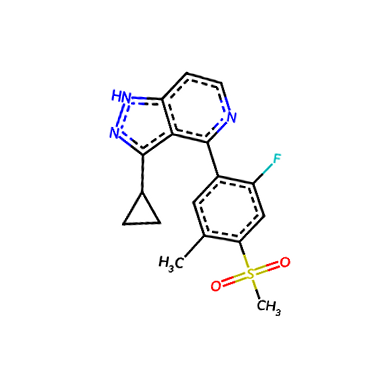 Cc1cc(-c2nccc3[nH]nc(C4CC4)c23)c(F)cc1S(C)(=O)=O